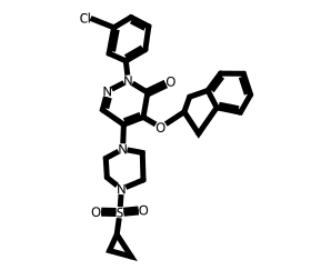 O=c1c(OC2Cc3ccccc3C2)c(N2CCN(S(=O)(=O)C3CC3)CC2)cnn1-c1cccc(Cl)c1